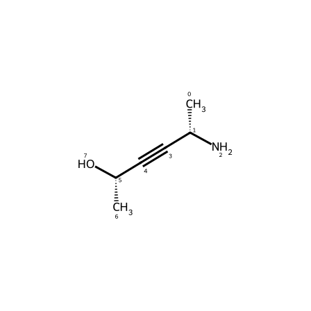 C[C@H](N)C#C[C@H](C)O